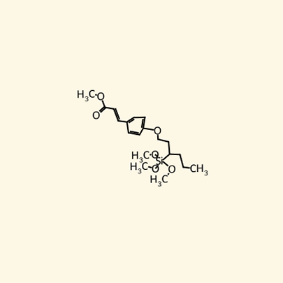 CCCC(CCOc1ccc(C=CC(=O)OC)cc1)[Si](OC)(OC)OC